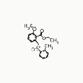 CCOC(=O)c1c(C[S+]([O-])c2ccccc2C)cccc1OC